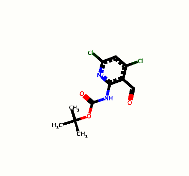 CC(C)(C)OC(=O)Nc1nc(Cl)cc(Cl)c1C=O